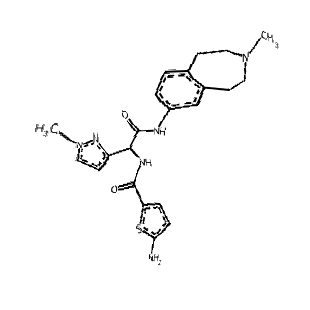 CN1CCc2ccc(NC(=O)C(NC(=O)c3ccc(N)s3)c3ccn(C)n3)cc2CC1